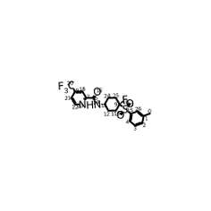 Cc1cccc(S(=O)(=O)[C@]2(F)CC[C@H](NC(=O)c3cc(C(F)(F)F)ccn3)CC2)c1